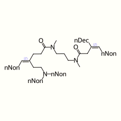 CCCCCCCCC/C=C(/CCC(=O)N(C)CCCN(C)C(=O)C/C(=C\CCCCCCCCC)CCCCCCCCCC)CCN(CCCCCCCCC)CCCCCCCCC